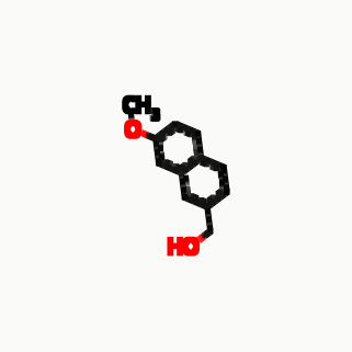 COc1ccc2ccc(CO)cc2c1